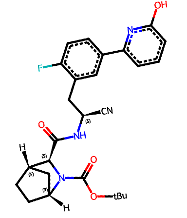 CC(C)(C)OC(=O)N1[C@@H]2CC[C@@H](C2)[C@H]1C(=O)N[C@H](C#N)Cc1cc(-c2cccc(O)n2)ccc1F